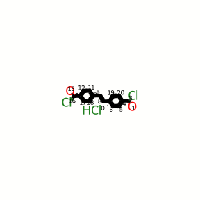 Cl.O=C(Cl)c1ccc(C=Cc2ccc(C(=O)Cl)cc2)cc1